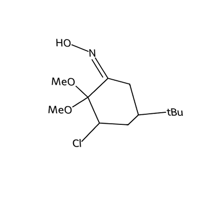 COC1(OC)/C(=N\O)CC(C(C)(C)C)CC1Cl